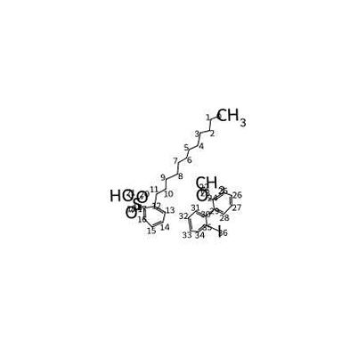 CCCCCCCCCCCCc1ccccc1S(=O)(=O)O.COc1ccccc1-c1ccccc1I